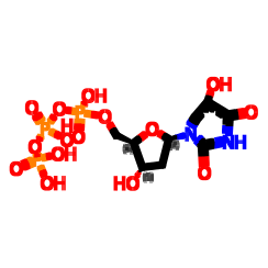 O=c1[nH]c(=O)n([C@H]2C[C@H](O)[C@@H](COP(=O)(O)OP(=O)(O)OP(=O)(O)O)O2)cc1O